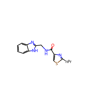 CCCc1nc(C(=O)NCc2nc3ccccc3[nH]2)cs1